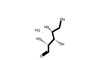 Cl.O=C[C@H](O)[C@@H](O)[C@H](O)CO